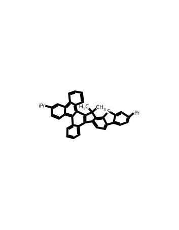 CC(C)c1ccc2c(c1)sc1c3c(ccc12)-c1c(c2c4ccccc4c4cc(C(C)C)ccc4c2c2ccccc12)C3(C)C